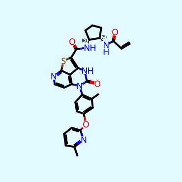 C=CC(=O)N[C@H]1CCC[C@H]1NC(=O)c1sc2nccc3c2c1NC(=O)N3c1ccc(Oc2cccc(C)n2)cc1C